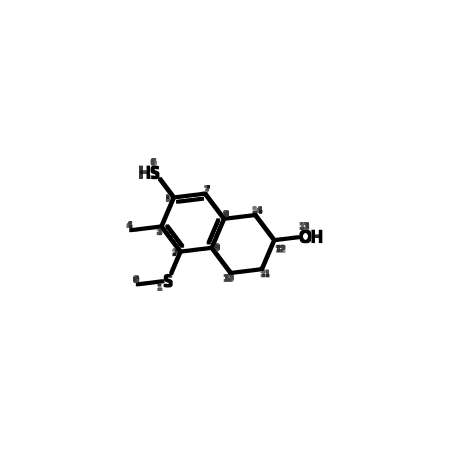 CSc1c(C)c(S)cc2c1CCC(O)C2